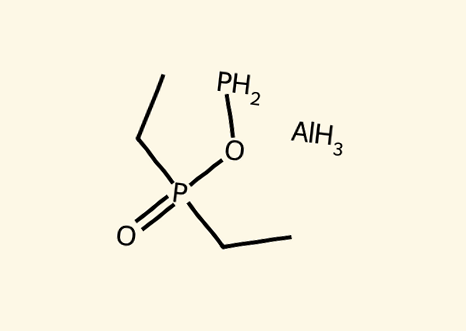 CCP(=O)(CC)OP.[AlH3]